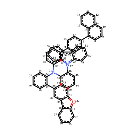 c1cc(-c2ccc(-c3cccc4ccccc34)cc2)cc(N(c2ccccc2-c2ccc3oc4ccccc4c3c2)c2ccccc2-n2c3ccccc3c3ccccc32)c1